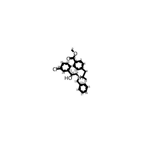 COC(=O)c1ccc(CC(C)N(Cc2ccccc2)CC(O)c2cccc(Cl)c2)cc1